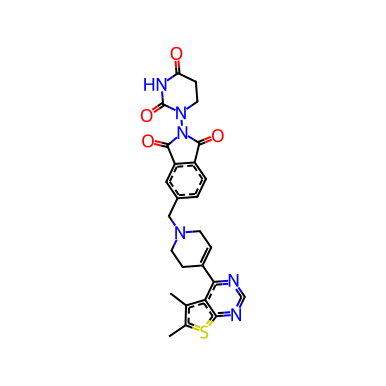 Cc1sc2ncnc(C3=CCN(Cc4ccc5c(c4)C(=O)N(N4CCC(=O)NC4=O)C5=O)CC3)c2c1C